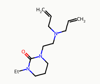 C=CCN(CC=C)CCN1CCCN(CC)C1=O